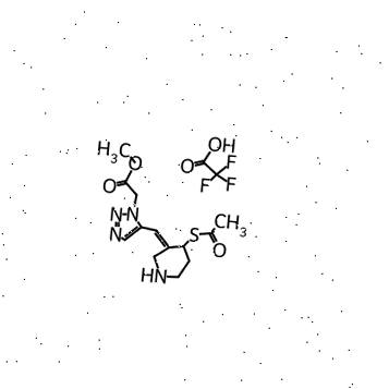 COC(=O)Cn1nncc1/C=C1\CNCCC1SC(C)=O.O=C(O)C(F)(F)F